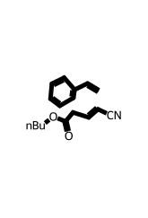 C=Cc1ccccc1.CCCCOC(=O)CC=CC#N